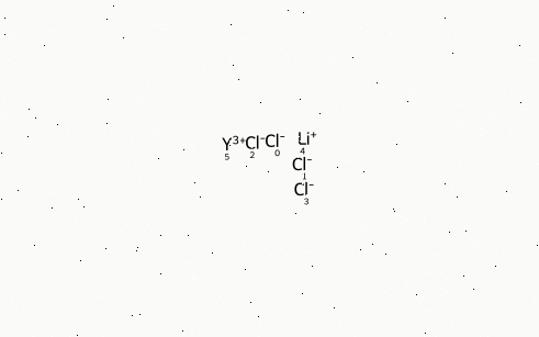 [Cl-].[Cl-].[Cl-].[Cl-].[Li+].[Y+3]